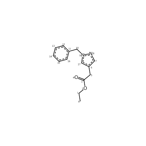 CCOC(=O)Cc1cnn(Cc2ccccc2)c1